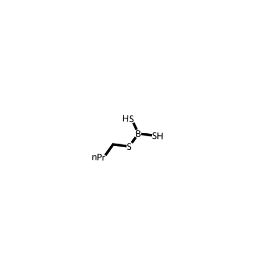 CCCCSB(S)S